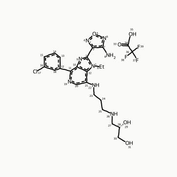 CCn1c(-c2nonc2N)nc2c(-c3cccc(Cl)c3)ncc(NCCCNC[C@H](O)CO)c21.O=C(O)C(F)(F)F